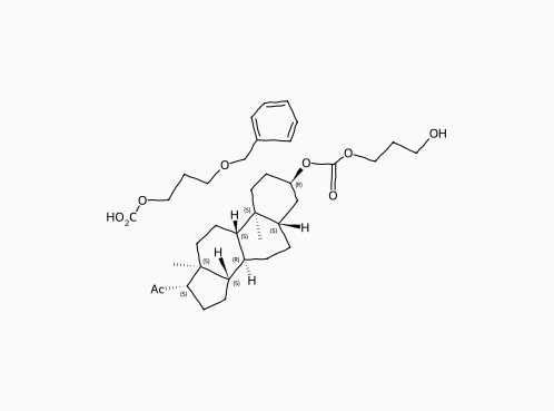 CC(=O)[C@H]1CC[C@H]2[C@@H]3CC[C@H]4C[C@H](OC(=O)OCCCO)CC[C@]4(C)[C@H]3CC[C@]12C.O=C(O)OCCCOCc1ccccc1